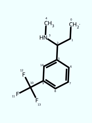 [CH2]CC(NC)c1cccc(C(F)(F)F)c1